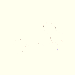 Nc1cnc2ccccc2c1NCCC1(O)CCOCC1